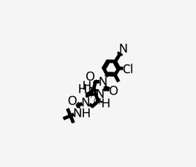 Cc1c(N2C(=O)[C@@H]3[C@@H]4C[C@@H](CN4C(=O)NC(C)(C)C)N3C2=O)ccc(C#N)c1Cl